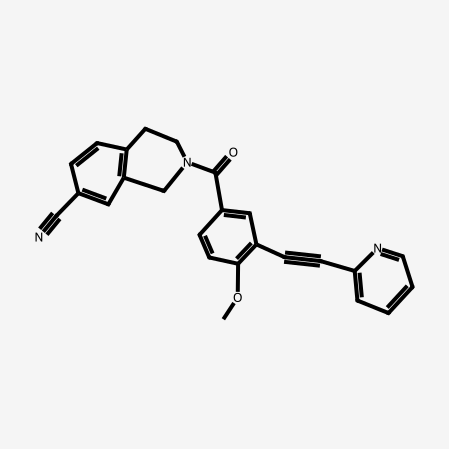 COc1ccc(C(=O)N2CCc3ccc(C#N)cc3C2)cc1C#Cc1ccccn1